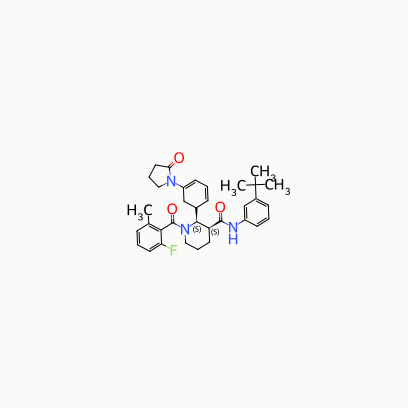 Cc1cccc(F)c1C(=O)N1CCC[C@H](C(=O)Nc2cccc(C(C)(C)C)c2)[C@@H]1C1C=CC=C(N2CCCC2=O)C1